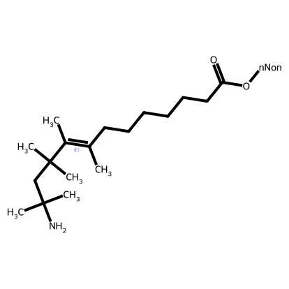 CCCCCCCCCOC(=O)CCCCCC/C(C)=C(\C)C(C)(C)CC(C)(C)N